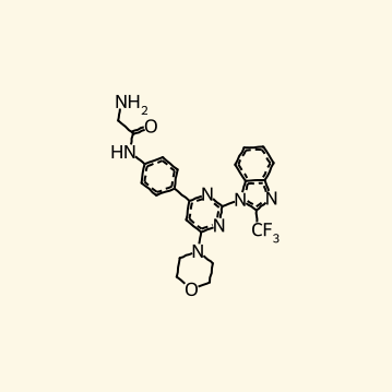 NCC(=O)Nc1ccc(-c2cc(N3CCOCC3)nc(-n3c(C(F)(F)F)nc4ccccc43)n2)cc1